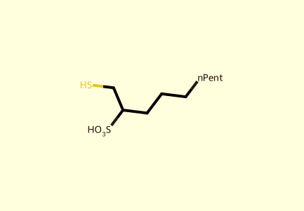 CCCCCCCCC(CS)S(=O)(=O)O